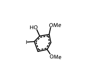 COc1cc(I)c(O)c(OC)c1